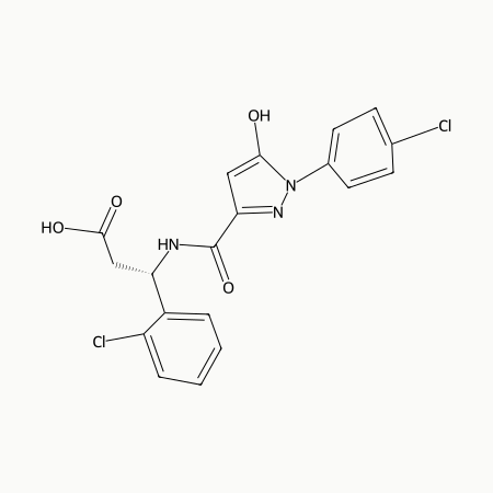 O=C(O)C[C@H](NC(=O)c1cc(O)n(-c2ccc(Cl)cc2)n1)c1ccccc1Cl